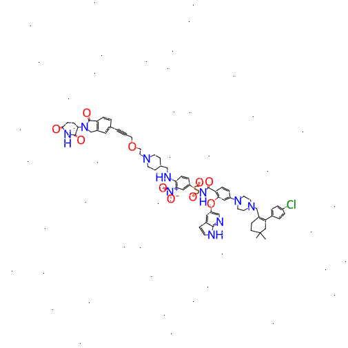 CC1(C)CCC(CN2CCN(c3ccc(C(=O)NS(=O)(=O)c4ccc(NCC5CCN(CCOCC#Cc6ccc7c(c6)CN(C6CCC(=O)NC6=O)C7=O)CC5)c([N+](=O)[O-])c4)c(Oc4cnc5[nH]ccc5c4)c3)CC2)=C(c2ccc(Cl)cc2)C1